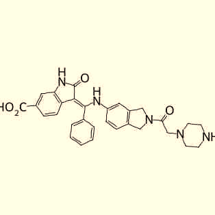 O=C1Nc2cc(C(=O)O)ccc2/C1=C(/Nc1ccc2c(c1)CN(C(=O)CN1CCNCC1)C2)c1ccccc1